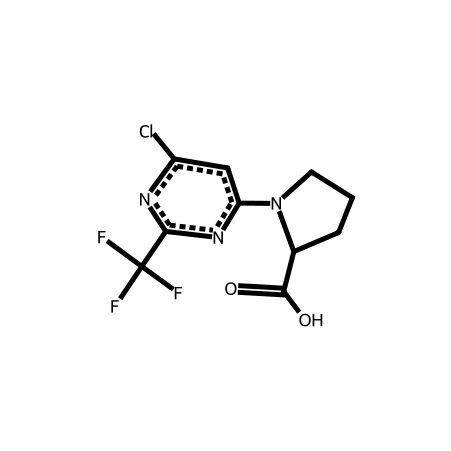 O=C(O)C1CCCN1c1cc(Cl)nc(C(F)(F)F)n1